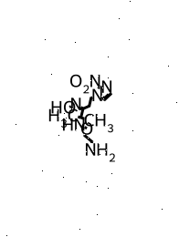 CC(C)(NOCCN)C(CCn1ccnc1[N+](=O)[O-])=NO